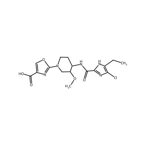 CCc1[nH]c(C(=O)NC2CCN(c3nc(C(=O)O)co3)CC2OC)nc1Cl